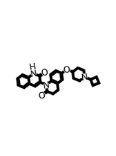 O=C1CCc2cc(OC3CCN(C4CCC4)CC3)ccc2N1c1cc2ccccc2[nH]c1=O